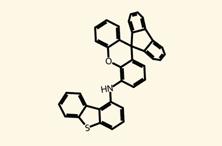 c1ccc2c(c1)Oc1c(Nc3cccc4sc5ccccc5c34)cccc1C21c2ccccc2-c2ccccc21